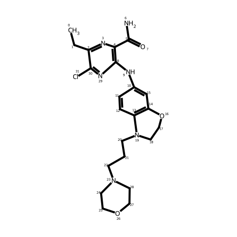 CCc1nc(C(N)=O)c(Nc2ccc3c(c2)OCCN3CCCN2CCOCC2)nc1Cl